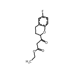 CCOC(=O)CC(=O)C1CCc2cc(F)ccc2O1